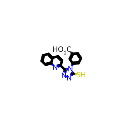 O=C(O)c1cccc(-n2c(S)nnc2-c2ccc3ccccc3n2)c1